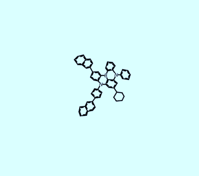 c1ccc(N2c3ccccc3B3c4cc(-c5ccc6ccccc6c5)ccc4N(c4ccc(-c5ccc6ccccc6c5)cc4)c4cc(C5CCCCC5)cc2c43)cc1